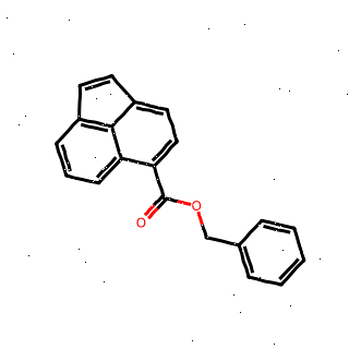 O=C(OCc1ccccc1)c1ccc2c3c(cccc13)C=C2